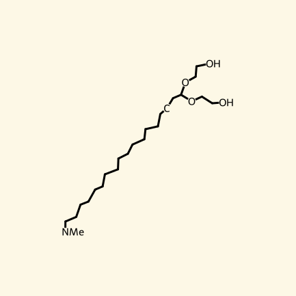 CNCCCCCCCCCCCCCCCCCC(OCCO)OCCO